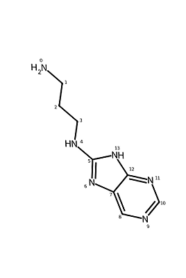 NCCCNc1nc2cncnc2[nH]1